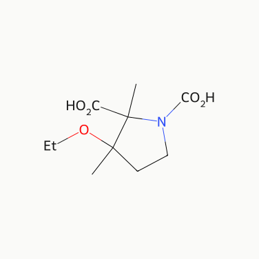 CCOC1(C)CCN(C(=O)O)C1(C)C(=O)O